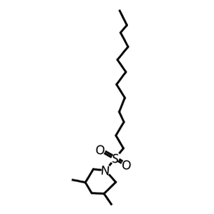 CCCCCCCCCCCCS(=O)(=O)N1CC(C)CC(C)C1